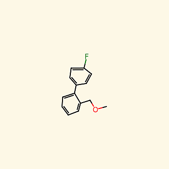 COCc1ccccc1-c1ccc(F)cc1